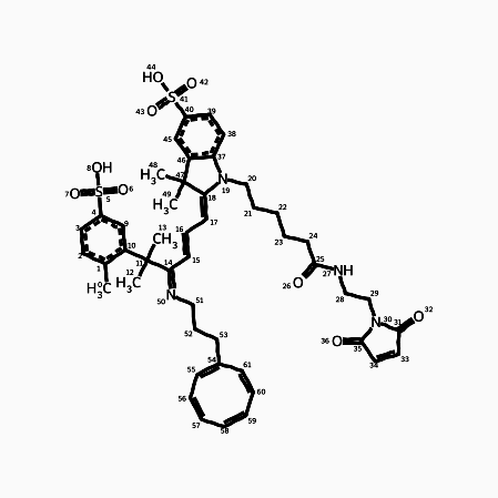 Cc1ccc(S(=O)(=O)O)cc1C(C)(C)C(/C=C/C=C1/N(CCCCCC(=O)NCCN2C(=O)C=CC2=O)c2ccc(S(=O)(=O)O)cc2C1(C)C)=N/CCCC1=C/C=C\C=C/C=C\1